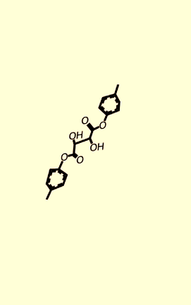 Cc1ccc(OC(=O)C(O)C(O)C(=O)Oc2ccc(C)cc2)cc1